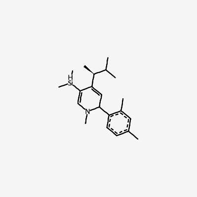 Cc1ccc(C2C=C([C@@H](C)C(C)C)C([SiH](C)C)=CN2C)c(C)c1